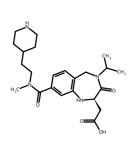 CC(C)N1Cc2ccc(C(=O)N(C)CCC3CCNCC3)cc2N[C@H](CC(=O)O)C1=O